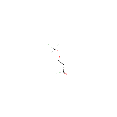 O=C(Cl)CCOC(F)(F)F